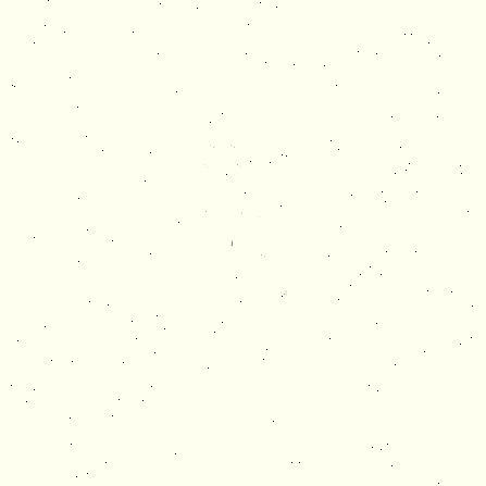 CC1(C)S[C@H]2C(NC(=O)C(N)C3CCCC3)C(=O)N2C1c1nnn[nH]1